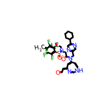 C=C(F)/C(F)=C(F)\C(=C(\F)CF)[S+]([O-])N(CC)CC(=O)N(Cc1cnc(C2CCCCC2)cn1)C1=C/C(=C/C=O)/N=C\N/C=C\1